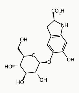 O=C(O)[C@@H]1Cc2cc(O[C@@H]3O[C@H](CO)[C@@H](O)[C@H](O)[C@H]3O)c(O)cc2N1